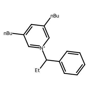 CCCCc1cc(CCCC)c[n+](C(CC)c2ccccc2)c1